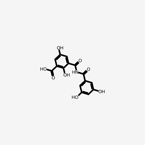 O=C(NC(=O)c1cc(O)cc(C(=O)O)c1O)c1cc(O)cc(O)c1